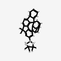 CC1(C)c2cc(B3OC(C)(C)C(C)(C)O3)ccc2-c2c1ccc1c2C2(c3ccccc3-1)C1CC3CC(C1)CC2C3